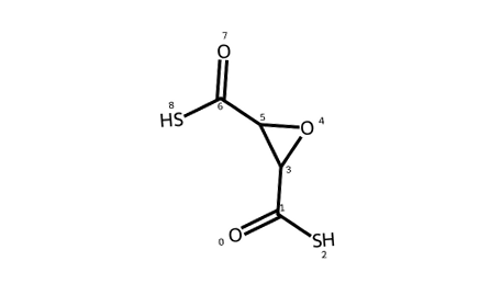 O=C(S)C1OC1C(=O)S